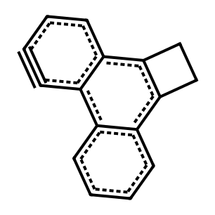 c1ccc2c3c(c4ccccc4c2c#1)CC3